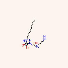 CCCCCCCCCCCCNc1c(NCC(O)CN(C)CCCCNC)c(=O)c1=O